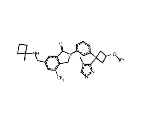 CC(C)O[C@H]1C[C@@](c2cccc(N3Cc4c(cc(CNC5(C)CCC5)cc4C(F)(F)F)C3=O)c2)(c2nncn2C)C1